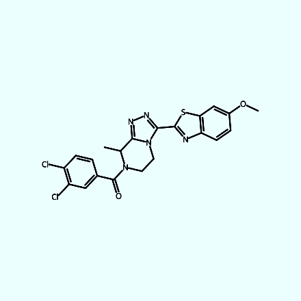 COc1ccc2nc(-c3nnc4n3CCN(C(=O)c3ccc(Cl)c(Cl)c3)C4C)sc2c1